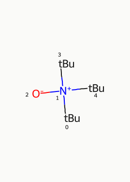 CC(C)(C)[N+]([O-])(C(C)(C)C)C(C)(C)C